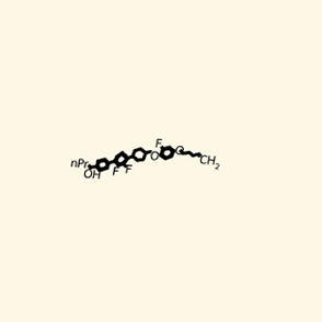 C=CCCCOc1ccc(OCC2CCC(c3ccc(-c4ccc(C(O)CCC)cc4)c(F)c3F)CC2)c(F)c1